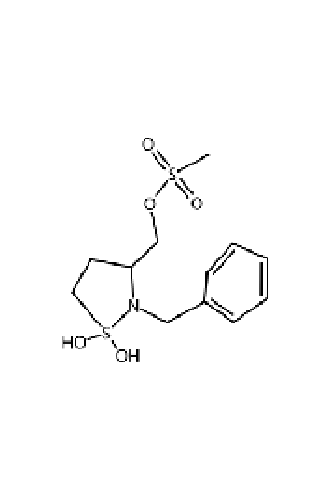 CS(=O)(=O)OCC1CCS(O)(O)N1Cc1ccccc1